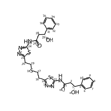 O=C(C[C@@H](O)c1ccccc1)Nc1nnc(CCSCCc2nnc(NC(=O)C[C@@H](O)c3ccccc3)s2)s1